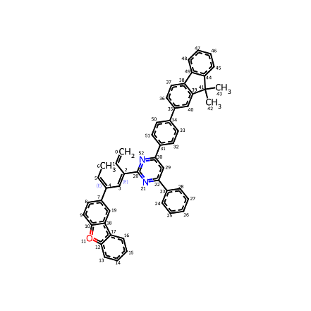 C=C/C(=C\C(=C/C)c1ccc2oc3ccccc3c2c1)c1nc(-c2ccccc2)cc(-c2ccc(-c3ccc4c(c3)C(C)(C)c3ccccc3-4)cc2)n1